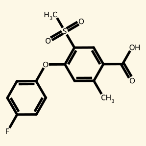 Cc1cc(Oc2ccc(F)cc2)c(S(C)(=O)=O)cc1C(=O)O